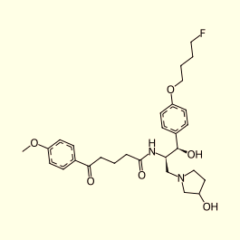 COc1ccc(C(=O)CCCC(=O)N[C@H](CN2CCC(O)C2)[C@H](O)c2ccc(OCCCCF)cc2)cc1